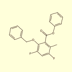 Cc1c(F)cc(F)c(OCc2ccccc2)c1C(=O)Oc1ccccc1